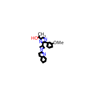 COc1cccc(-c2ncc(C(C)O)nc2C2CN(c3ccc4ccccc4n3)C2)c1